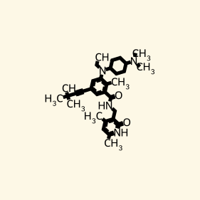 CCN(c1cc(C#CC(C)(C)C)cc(C(=O)NCc2c(C)cc(C)[nH]c2=O)c1C)C1CCC(N(C)C)CC1